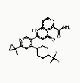 CC1(c2cc(C3CCC(C(F)(F)F)CC3)c(-c3cc(=O)c4c(C(N)=O)nccc4[nH]3)cn2)CC1